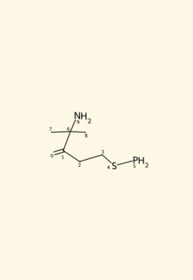 C=C(CCSP)C(C)(C)N